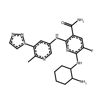 Cc1ncc(Nc2nc(NC3CCCCC3N)c(F)cc2C(N)=O)cc1-n1ccnn1